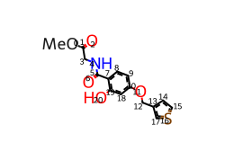 COC(=O)CNC(=O)c1ccc(OCc2ccsc2)cc1O